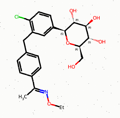 CCON=C(C)c1ccc(Cc2cc([C@@H]3O[C@H](CO)[C@@H](O)[C@H](O)[C@H]3O)ccc2Cl)cc1